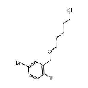 Fc1ccc(Br)cc1COCCCCCCl